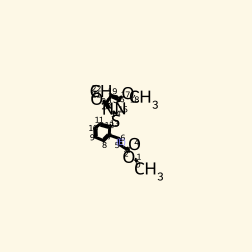 CCOC(=O)/C=C/c1ccccc1Sc1nc(OC)cc(OC)n1